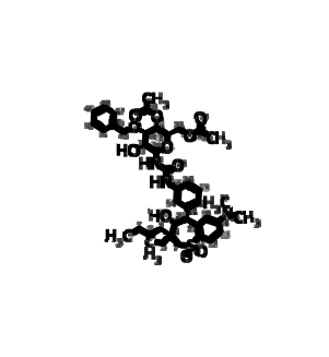 CCCC[C@]1(CC)CS(=O)(=O)c2ccc(N(C)C)cc2[C@H](c2cccc(NC(=O)NC3O[C@H](COC(C)=O)[C@@H](OC(C)=O)[C@H](OCc4ccccc4)[C@H]3O)c2)[C@@H]1O